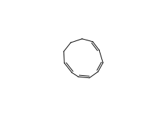 C1=C\C=C/CCC/C=C\C=C/1